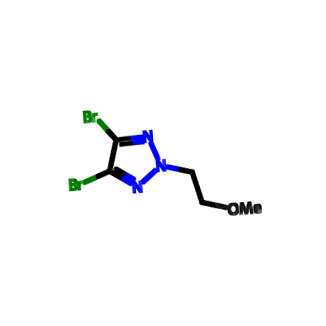 COCCn1nc(Br)c(Br)n1